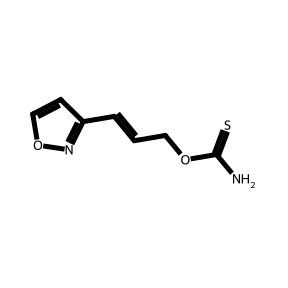 NC(=S)OCC=Cc1ccon1